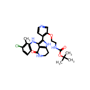 Cc1c(Cl)cccc1Nc1c(-c2ccncc2OCCNC(=O)OC(C)(C)C)[nH]c2c1C(=O)NCC2